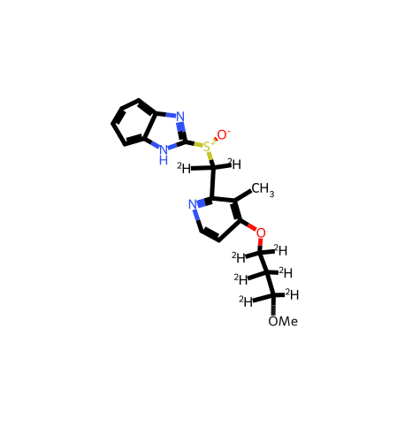 [2H]C([2H])(c1nccc(OC([2H])([2H])C([2H])([2H])C([2H])([2H])OC)c1C)[S+]([O-])c1nc2ccccc2[nH]1